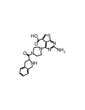 Nc1nc(N2CCN(C(=O)C3Cc4ccccc4CN3)CC2)c2c(C(=O)O)csc2n1